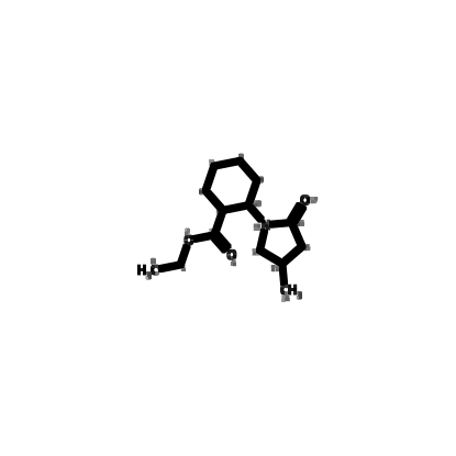 CCOC(=O)C1CCCCC1N1CC(C)CC1=O